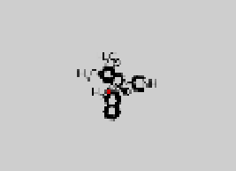 COc1cc(C)cc(OC)c1CN(C1CCNCC1)S(=O)(=O)c1ccc2ccccc2c1